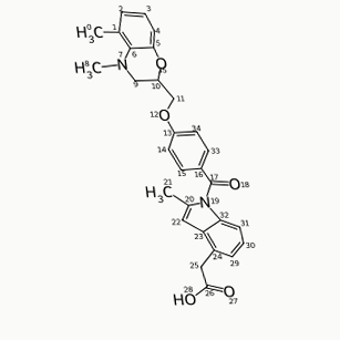 Cc1cccc2c1N(C)CC(COc1ccc(C(=O)n3c(C)cc4c(CC(=O)O)cccc43)cc1)O2